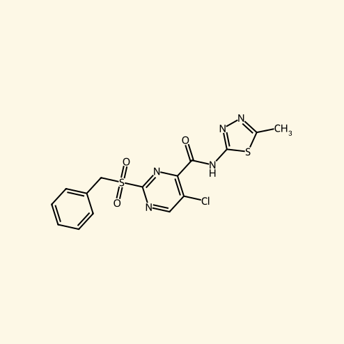 Cc1nnc(NC(=O)c2nc(S(=O)(=O)Cc3ccccc3)ncc2Cl)s1